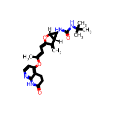 C=C1/C(=C\C=C(/C)Oc2ccnc3c2CCC(=O)N3)O[C@@H]2[C@@H](NC(=O)NC(C)(C)C)[C@H]12